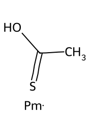 CC(O)=S.[Pm]